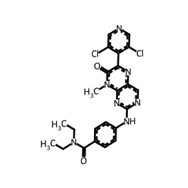 CCN(CC)C(=O)c1ccc(Nc2ncc3nc(-c4c(Cl)cncc4Cl)c(=O)n(C)c3n2)cc1